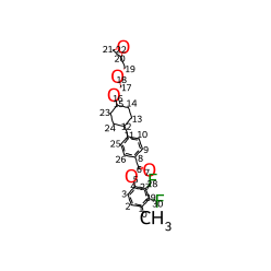 Cc1ccc(OC(=O)c2ccc(C3CCC(OCOCC4CO4)CC3)cc2)c(F)c1F